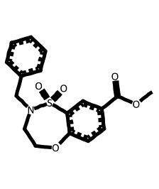 COC(=O)c1ccc2c(c1)S(=O)(=O)N(Cc1ccccc1)CCO2